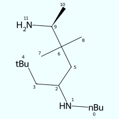 CCCCNC(CC(C)(C)C)CC(C)(C)[C@H](C)N